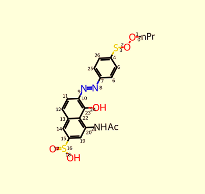 CCCOOSc1ccc(N=Nc2ccc3cc(S(=O)O)cc(NC(C)=O)c3c2O)cc1